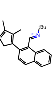 CC1=CCC(c2ccc3ccccc3c2/C=N/C(C)(C)C)=C1C